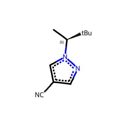 C[C@H](n1cc(C#N)cn1)C(C)(C)C